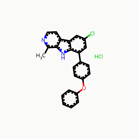 Cc1nccc2c1[nH]c1c(-c3ccc(Oc4ccccc4)cc3)cc(Cl)cc12.Cl